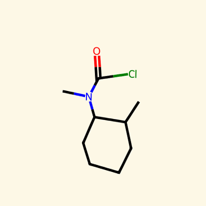 CC1CCCCC1N(C)C(=O)Cl